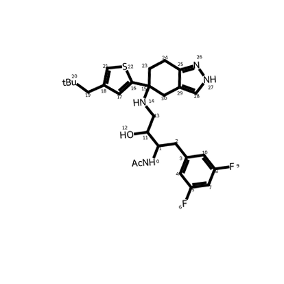 CC(=O)NC(Cc1cc(F)cc(F)c1)C(O)CNC1(c2cc(CC(C)(C)C)cs2)CCc2n[nH]cc2C1